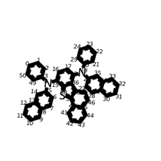 c1ccc(N(c2ccc3ccccc3c2)c2ccc(N(c3ccccc3)c3ccc4ccccc4c3)c3c2sc2c4ccccc4ccc23)cc1